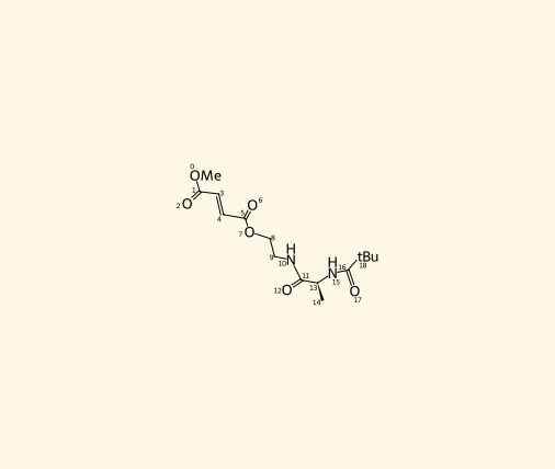 COC(=O)/C=C/C(=O)OCCNC(=O)[C@H](C)NC(=O)C(C)(C)C